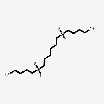 CCCCC[Si](F)(F)CCCCCC[Si](F)(F)CCCCC